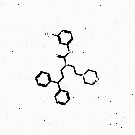 O=C(O)c1cccc(NC(=O)N(CCC(c2ccccc2)c2ccccc2)CCN2CCOCC2)c1